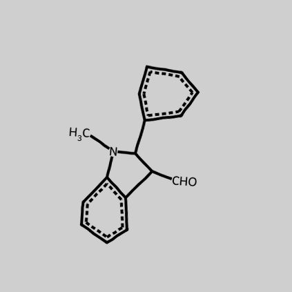 CN1c2ccccc2C(C=O)C1c1ccccc1